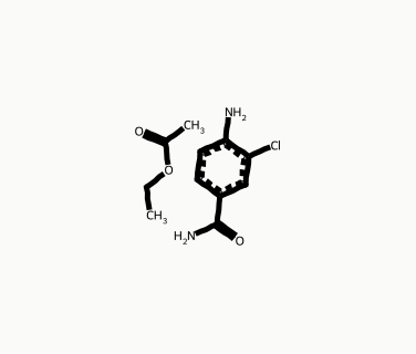 CCOC(C)=O.NC(=O)c1ccc(N)c(Cl)c1